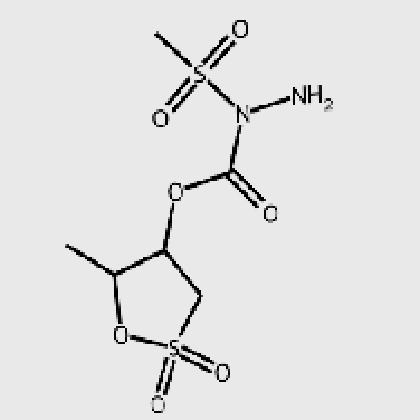 CC1OS(=O)(=O)CC1OC(=O)N(N)S(C)(=O)=O